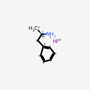 C[C@@H](N)Cc1ccccc1.I